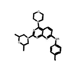 Cc1ccc(Nc2ccc3c(N4CCOCC4)nc(N4CC(C)OC(C)C4)nc3n2)cc1